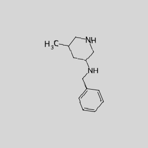 CC1CNCC(NCc2ccccc2)C1